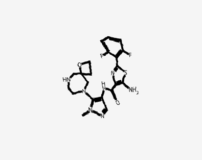 Cn1ncc(NC(=O)c2nc(-c3c(F)cccc3F)sc2N)c1N1CCNCC2(CCO2)C1